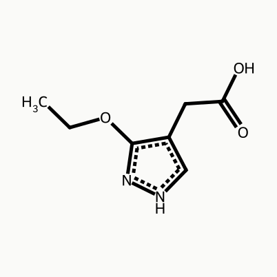 CCOc1n[nH]cc1CC(=O)O